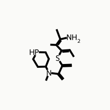 C=C(SC(=C\C)/C(C)=C(/C)N)C(=C)N(C)C1CCPCC1